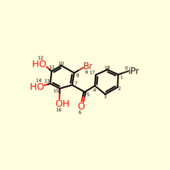 CC(C)c1ccc(C(=O)c2c(Br)cc(O)c(O)c2O)cc1